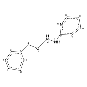 c1ccc(CONNc2ccccn2)cc1